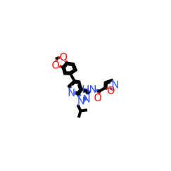 CC(C)Cn1nc(NC(=O)c2ccno2)c2cc(-c3ccc4c(c3)OCO4)cnc21